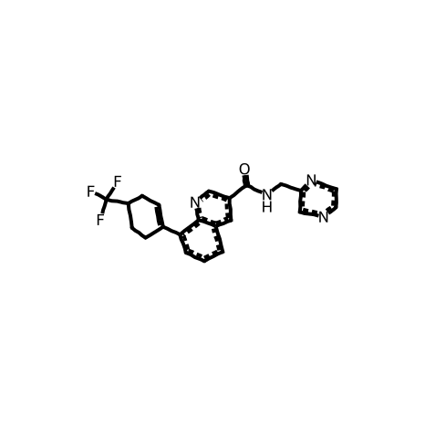 O=C(NCc1cnccn1)c1cnc2c(C3=CCC(C(F)(F)F)CC3)cccc2c1